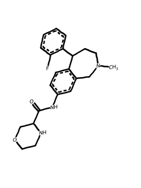 CN1CCC(c2ccccc2F)c2ccc(NC(=O)C3COCCN3)cc2C1